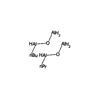 CCC[CH2][AlH][O][AlH2].CC[CH2][AlH][O][AlH2]